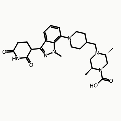 C[C@@H]1CN(C(=O)O)[C@@H](C)CN1CC1CCN(c2cccc3c(C4CCC(=O)NC4=O)nn(C)c23)CC1